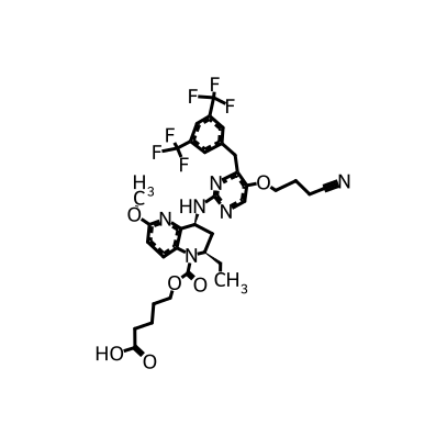 CC[C@@H]1C[C@H](Nc2ncc(OCCCC#N)c(Cc3cc(C(F)(F)F)cc(C(F)(F)F)c3)n2)c2nc(OC)ccc2N1C(=O)OCCCCC(=O)O